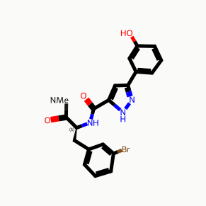 CNC(=O)[C@H](Cc1cccc(Br)c1)NC(=O)c1cc(-c2cccc(O)c2)n[nH]1